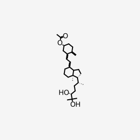 C=C1CC[C@H](OC(C)=O)C/C1=C/C=C1CCC[C@@]2(C)C1CC[C@@H]2[C@H](C)CC[C@@H](O)C(C)(C)O